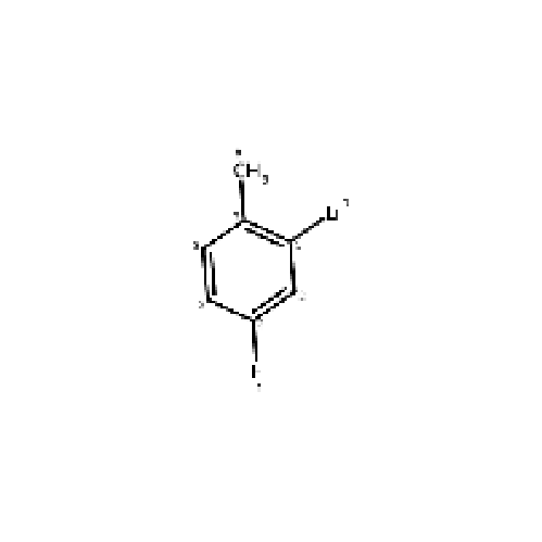 [Li][c]1cc(F)ccc1C